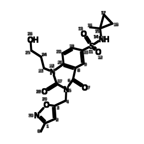 Cc1cc(Cn2c(=O)c3cc(S(=O)(=O)NC4(C)CC4)ccc3n(CCCO)c2=O)on1